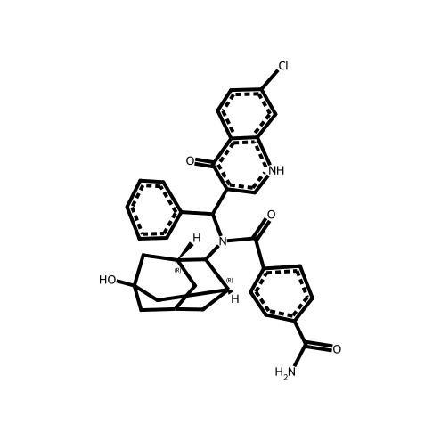 NC(=O)c1ccc(C(=O)N(C(c2ccccc2)c2c[nH]c3cc(Cl)ccc3c2=O)C2[C@@H]3CC4C[C@@H]2CC(O)(C4)C3)cc1